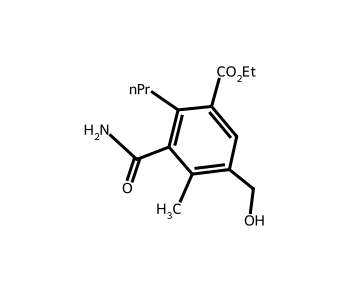 CCCc1c(C(=O)OCC)cc(CO)c(C)c1C(N)=O